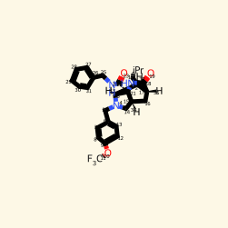 CC(C)C[C@H]1[C@@H]2N(Cc3ccc(OC(F)(F)F)cc3)C[C@@H]3C[C@H]1C(=O)N[C@@]32C(=O)NCc1ccccc1